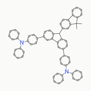 CC1(C)c2ccccc2-c2ccc(C3c4ccc(-c5ccc(N(c6ccccc6)c6ccccc6)cc5)cc4-c4cc(-c5ccc(N(c6ccccc6)c6ccccc6)cc5)ccc43)cc21